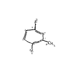 [2H]c1ccc(F)nc1C